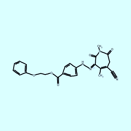 CC1=C(C#N)CC(=O)N(C)C(=O)/C1=N\Nc1ccc(C(=O)OCCOc2ccccc2)cc1